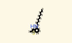 CCCCCCCCCCNc1cccc2sc(C)cc12